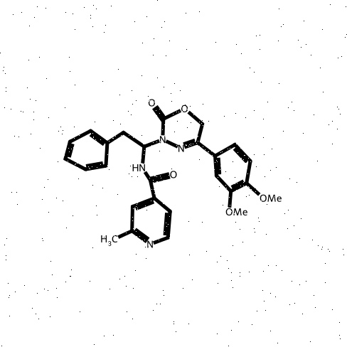 COc1ccc(C2=NN(C(Cc3ccccc3)NC(=O)c3ccnc(C)c3)C(=O)OC2)cc1OC